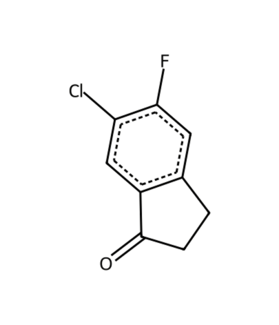 O=C1CCc2cc(F)c(Cl)cc21